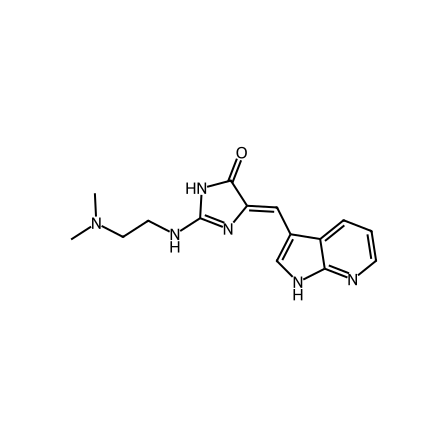 CN(C)CCNC1=NC(=Cc2c[nH]c3ncccc23)C(=O)N1